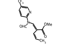 C/C=C\C(=C/N(C=O)c1ccc(C(F)(F)F)cn1)C(=O)OC